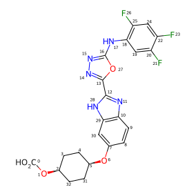 O=C(O)O[C@H]1CC[C@@H](Oc2ccc3nc(-c4nnc(Nc5cc(F)c(F)cc5F)o4)[nH]c3c2)CC1